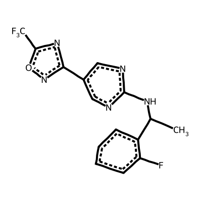 CC(Nc1ncc(-c2noc(C(F)(F)F)n2)cn1)c1ccccc1F